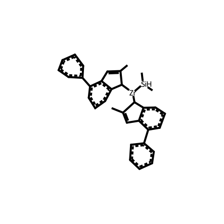 CC1=Cc2c(-c3ccccc3)cccc2[CH]1[Zr]([CH]1C(C)=Cc2c(-c3ccccc3)cccc21)[SiH](C)C